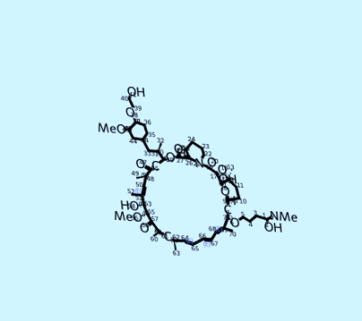 CNC(O)CCCO[C@H]1C[C@@H]2CC[C@@H](C)[C@@](O)(O2)C(=O)C(=O)N2CCCC[C@H]2C(=O)OC([C@H](C)CC2CC[C@@H](OCCO)[C@H](OC)C2)CC(=O)[C@H](C)/C=C(\C)[C@@H](O)[C@@H](OC)C(=O)[C@H](C)C[C@H](C)/C=C/C=C/C=C/1C